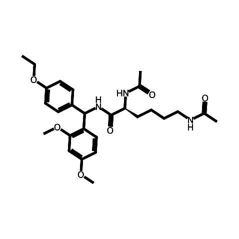 CCOc1ccc(C(NC(=O)[C@H](CCCCNC(C)=O)NC(C)=O)c2ccc(OC)cc2OC)cc1